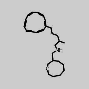 CC(CCCC1=C/C=C\C=C/C=C\C=C/C=C\1)CNCC1CCCCCCCC1